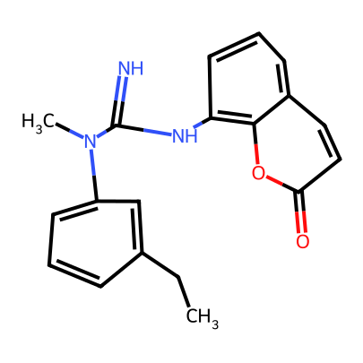 CCc1cccc(N(C)C(=N)Nc2cccc3ccc(=O)oc23)c1